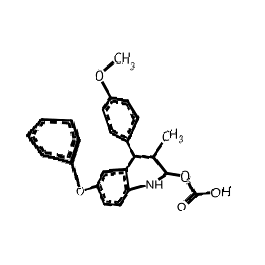 COc1ccc(C2c3cc(Oc4ccccc4)ccc3NC(OC(=O)O)C2C)cc1